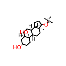 C[C@]12CC[C@H]3[C@@H](CC[C@H]4C[C@@H](O)CC[C@@]43CO)[C@@H]1CCC2O[Si](C)(C)C